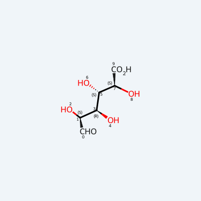 O=C[C@@H](O)[C@H](O)[C@H](O)[C@H](O)C(=O)O